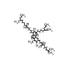 CCCC(C)CCCCC(=O)NCCCCC(NC(=O)CCCCC(CC)CCC)C(=O)NC(CCCCNC(=O)CCCCC(C)C)C(=O)C(C)CC